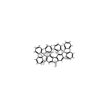 [2H]c1cc2c(c([2H])c1[Si](c1ccccc1)(c1ccccc1)c1ccccc1)c1c([2H])c([Si](c3ccccc3)(c3ccccc3)c3ccccc3)c([2H])cc1n2C